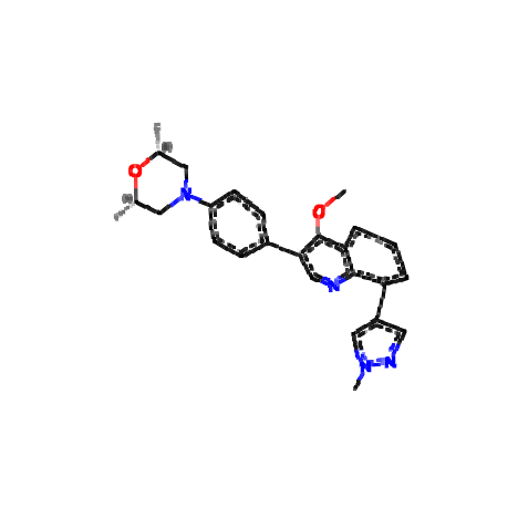 COc1c(-c2ccc(N3C[C@@H](C)O[C@@H](C)C3)cc2)cnc2c(-c3cnn(C)c3)cccc12